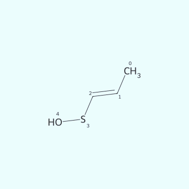 CC=CSO